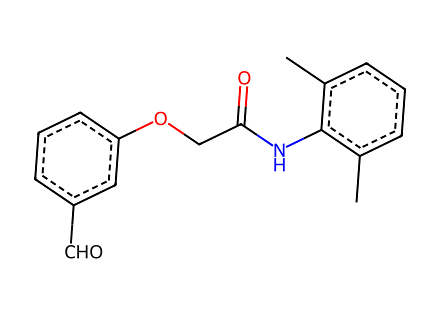 Cc1cccc(C)c1NC(=O)COc1cccc(C=O)c1